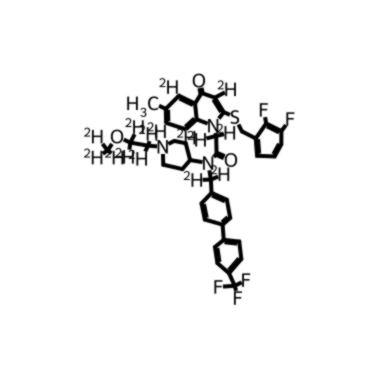 [2H]c1c(C)c([2H])c2c(=O)c([2H])c(SCc3cccc(F)c3F)n(C([2H])([2H])C(=O)N(C3CCN(C([2H])([2H])C([2H])([2H])OC([2H])([2H])[2H])CC3)C([2H])([2H])c3ccc(-c4ccc(C(F)(F)F)cc4)cc3)c2c1[2H]